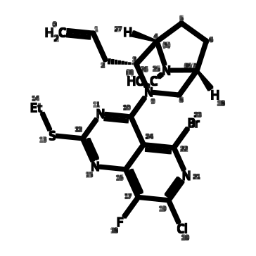 C=CC[C@@H]1[C@@H]2CC[C@H](CN1c1nc(SCC)nc3c(F)c(Cl)nc(Br)c13)N2C(=O)O